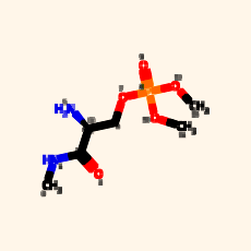 CNC(=O)[C@@H](N)COP(=O)(OC)OC